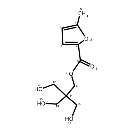 Cc1ccc(C(=O)OCC(CO)(CO)CO)o1